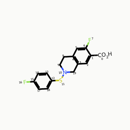 O=C(O)c1cc2c(cc1F)CCN(Sc1ccc(F)cc1)C2